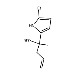 C=CCC(C)(CCC)c1ccc(CC)[nH]1